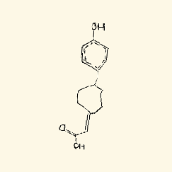 O=C(O)C=C1CCC(c2ccc(O)cc2)CC1